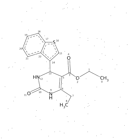 CCOC(=O)C1=C(CC)NC(=O)NC1c1csc2ccccc12